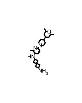 Cc1nc(N2CCC(C3CC(C)OC(C)C3)CC2)ccc1NC1CC2(CC(N)C2)C1